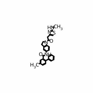 CNc1nc(CC(=O)N2CCc3cc(NC(=O)c4cc(C)ccc4-c4ccccc4)ccc32)cs1